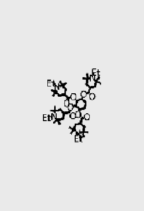 CCN1C(C)(C)CC(C(=O)OC2CCC(OC(=O)C3CC(C)(C)N(CC)C(C)(C)C3)C(OC(=O)C3CC(C)(C)N(CC)C(C)(C)C3)C2OC(=O)C2CC(C)(C)N(CC)C(C)(C)C2)CC1(C)C